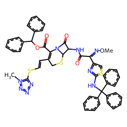 CON=C(C(=O)NC1C(=O)N2C(C(=O)OC(c3ccccc3)c3ccccc3)=C(C=CSc3nnnn3C)CSC12)c1csc(NC(c2ccccc2)(c2ccccc2)c2ccccc2)n1